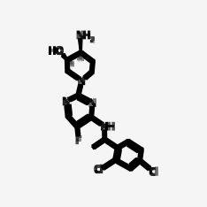 CC(Nc1nc(N2CC[C@H](N)[C@H](O)C2)ncc1F)c1ccc(Cl)cc1Cl